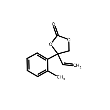 C=CC1(c2ccccc2C)COC(=O)O1